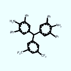 CC(C)c1cc(C(c2cc(C(F)(F)F)cc(C(F)(F)F)c2)c2cc(C(C)C)c(N)c(C(C)C)c2)cc(C(C)C)c1N